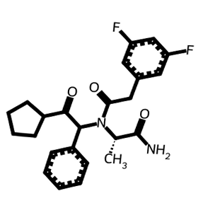 C[C@@H](C(N)=O)N(C(=O)Cc1cc(F)cc(F)c1)C(C(=O)C1CCCC1)c1ccccc1